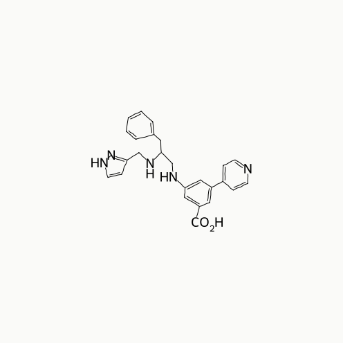 O=C(O)c1cc(NCC(Cc2ccccc2)NCc2cc[nH]n2)cc(-c2ccncc2)c1